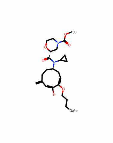 C=C1/C=C(Br)\C(OCCCOC)=C/C[C@H](N(C(=O)[C@H]2CN(C(=O)OC(C)(C)C)CCO2)C2CC2)CC1